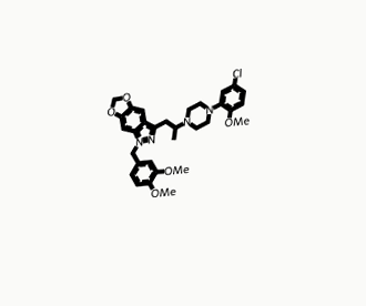 COc1ccc(Cn2nc(CC(C)N3CCN(c4cc(Cl)ccc4OC)CC3)c3cc4c(cc32)OCO4)cc1OC